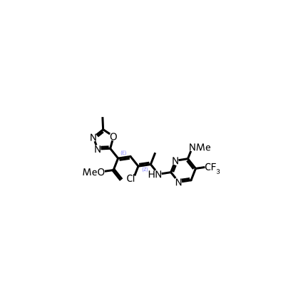 C=C(OC)/C(=C\C(Cl)=C(/C)Nc1ncc(C(F)(F)F)c(NC)n1)c1nnc(C)o1